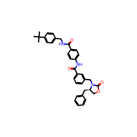 CC(C)(C)c1ccc(CNC(=O)c2ccc(NC(=O)c3cccc(CN4C(=O)OC[C@H]4Cc4ccccc4)c3)cc2)cc1